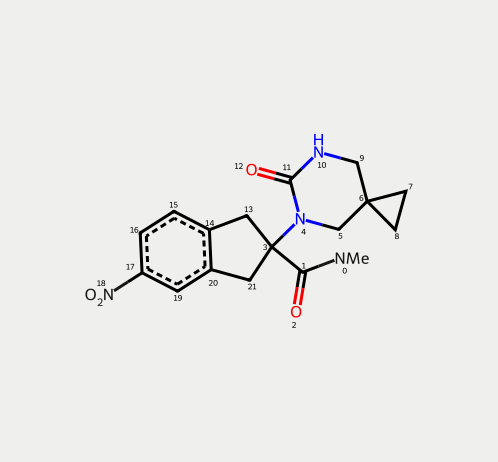 CNC(=O)C1(N2CC3(CC3)CNC2=O)Cc2ccc([N+](=O)[O-])cc2C1